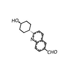 O=Cc1ccc2nc([C@H]3CC[C@H](O)CC3)ccc2c1